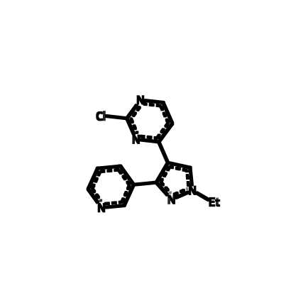 CCn1cc(-c2ccnc(Cl)n2)c(-c2cccnc2)n1